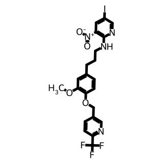 COc1cc(CCCNc2ncc(I)cc2[N+](=O)[O-])ccc1OCc1ccc(C(F)(F)F)nc1